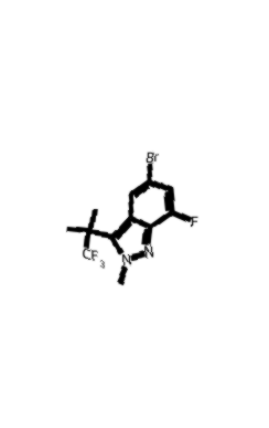 Cn1nc2c(F)cc(Br)cc2c1C(C)(C)C(F)(F)F